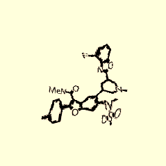 CNC(=O)c1c(-c2ccc(C)cc2)oc2cc(N(C)S(C)(=O)=O)c(C3CC(c4nc5c(F)cccc5o4)CN(C)C3)cc12